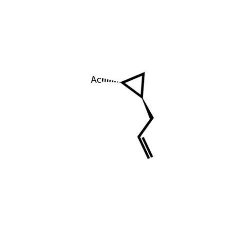 C=CC[C@@H]1C[C@H]1C(C)=O